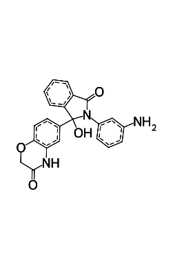 Nc1cccc(N2C(=O)c3ccccc3C2(O)c2ccc3c(c2)NC(=O)CO3)c1